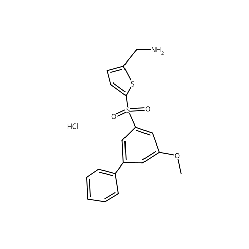 COc1cc(-c2ccccc2)cc(S(=O)(=O)c2ccc(CN)s2)c1.Cl